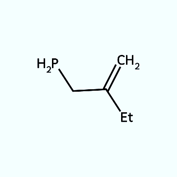 C=C(CC)CP